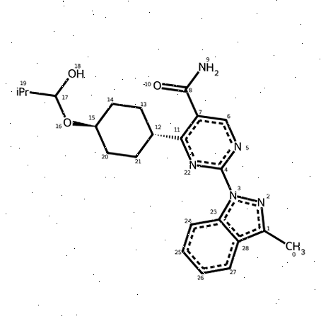 Cc1nn(-c2ncc(C(N)=O)c([C@H]3CC[C@H](OC(O)C(C)C)CC3)n2)c2ccccc12